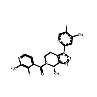 Cc1cc(-n2nnc3c2CCN(C(=O)C2=C=C=NC(C(F)(F)F)=C2F)[C@@H]3C)ncc1F